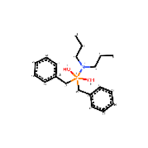 CCCN(CCC)P(O)(O)(Cc1ccccc1)Cc1ccccc1